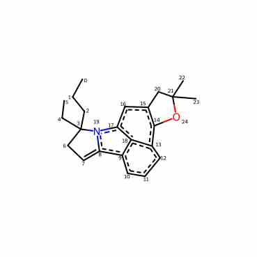 CCCC1(CC)CC=c2c3cccc4c5c(cc(c43)n21)CC(C)(C)O5